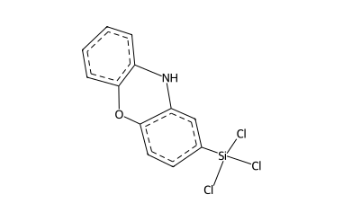 Cl[Si](Cl)(Cl)c1ccc2c(c1)Nc1ccccc1O2